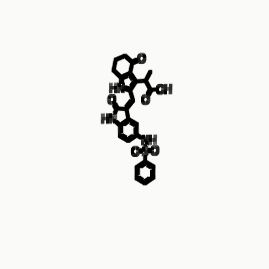 CC(C(=O)O)c1c(/C=C2\C(=O)Nc3ccc(NS(=O)(=O)c4ccccc4)cc32)[nH]c2c1C(=O)CCC2